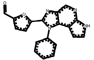 O=Cc1ccc(-c2nc3cnc4[nH]ccc4c3n2-c2ccccc2)o1